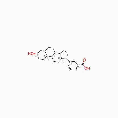 C=C[C@H](C[C@H](C)C(=O)O)C1CCC2C3CCC4C[C@H](O)CC[C@]4(C)C3CC[C@@]21C